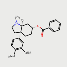 COc1ccc([C@@]23CC[C@@H](OC(=O)c4ccccc4)C[C@@H]2N(C)CC3)cc1OC